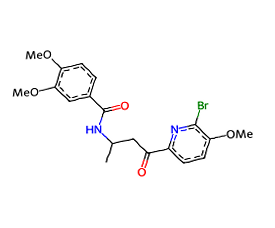 COc1ccc(C(=O)NC(C)CC(=O)c2ccc(OC)c(Br)n2)cc1OC